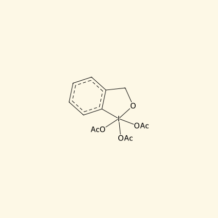 CC(=O)OI1(OC(C)=O)(OC(C)=O)OCc2ccccc21